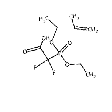 C=CC.CCOP(=O)(OCC)C(F)(F)C(=O)O